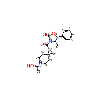 C[C@@H]1[C@H](c2ccccc2)OC(=O)N1C(=O)[C@H]1CC12CCN(C(=O)O)CC2